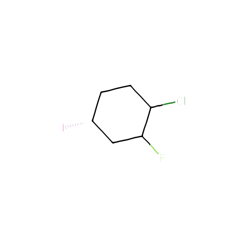 FC1C[C@H](I)CCC1Cl